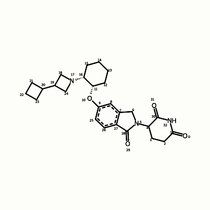 O=C1CCC(N2Cc3cc(O[C@H]4CCCC[C@H]4N4CC(C5CCC5)C4)ccc3C2=O)C(=O)N1